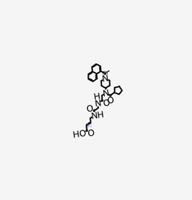 C[C@H](c1cccc2ccccc12)N1CCC(N(CC(=O)NCC(=O)NC/C=C/C(=O)O)C(=O)C2CCCC2)CC1